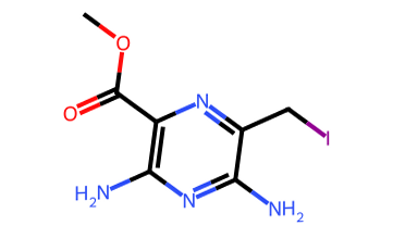 COC(=O)c1nc(CI)c(N)nc1N